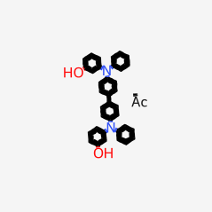 CC(C)=O.Oc1cccc(N(c2ccccc2)c2ccc(-c3ccc(N(c4ccccc4)c4cccc(O)c4)cc3)cc2)c1